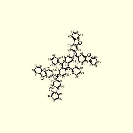 C1=CC2Oc3cc(N(c4ccc5c(c4)oc4ccccc45)c4ccc5c(-c6ccccc6)c6cc(N(c7ccc8c(c7)oc7ccccc78)c7ccc8c(c7)oc7ccccc78)ccc6c(-c6ccccc6)c5c4)ccc3C2C=C1